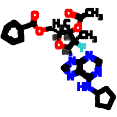 CC(=O)O[C@]1(C)[C@@H](COC(=O)c2ccccc2)O[C@@H](n2cnc3c(NC4CCCC4)ncnc32)[C@]1(C)F